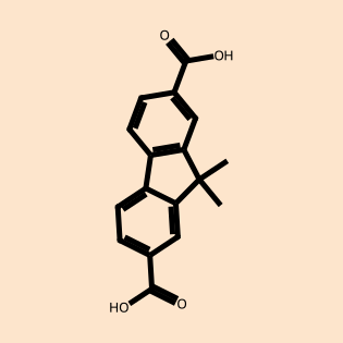 CC1(C)c2cc(C(=O)O)ccc2-c2ccc(C(=O)O)cc21